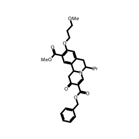 COCCCOc1cc2c(cc1C(=O)OC)C1CC(=O)C(C(=O)OCc3ccccc3)=CN1C(C(C)C)C2